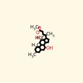 COC(=O)CCC(C)C1CCC2C3C(C[C@H](O)[C@]12C)[C@@]1(C)CC[C@@H](C)CC1C[C@H]3O